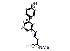 CNC(C)C/C=C/c1cncc(-c2ccc(O)cc2)c1